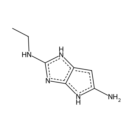 CCNc1nc2[nH]c(N)cc2[nH]1